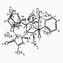 CC1=C[C@H]2[C@@]3(OC(=O)c4ccccc4)[C@H](C)[C@@H](O)[C@]4(OC(=O)c5ccccc5)[C@H]([C@@H]3C=C(CO)C[C@]2(O)C1=O)C4(C)C